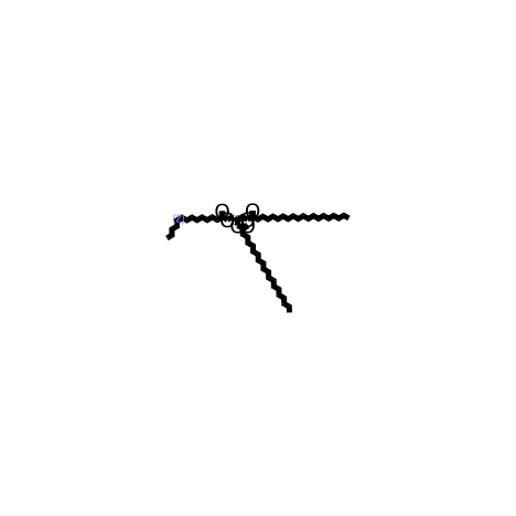 CCCC/C=C\CCCCCCCC(=O)OC[C@H](COC(=O)CCCCCCCCCCCCCCCCCCC)OC(=O)CCCCCCCCCCCCCCCCCCC